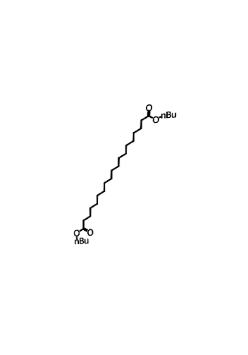 CCCCOC(=O)CCCCCCCCCCCCCCCCCC(=O)OCCCC